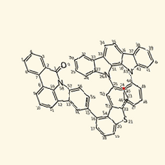 O=c1c2ccccc2c2cccc3c4cc(-c5cccc6sc7ccc(-n8c9ccccc9c9ccc%10c%11ccccc%11n(-c%11ccccc%11)c%10c98)cc7c56)ccc4n1c23